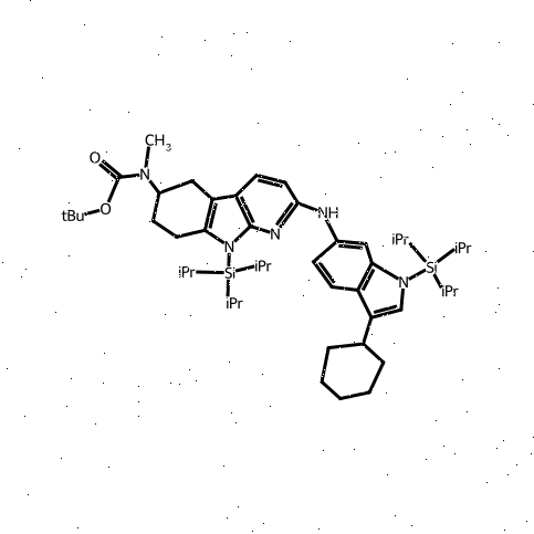 CC(C)[Si](C(C)C)(C(C)C)n1cc(C2CCCCC2)c2ccc(Nc3ccc4c5c(n([Si](C(C)C)(C(C)C)C(C)C)c4n3)CCC(N(C)C(=O)OC(C)(C)C)C5)cc21